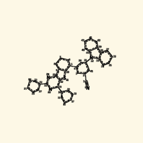 N#Cc1cc(-c2cccc3c2sc2c(-c4ccccc4)nc(-c4ccccc4)nc23)cc(-n2c3ccccc3c3ccccc32)c1